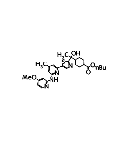 CCCCOC(=O)C1CCC(C(C)(O)c2ncc(-c3cc(C)cc(Nc4cc(OC)ccn4)n3)s2)CC1